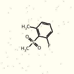 Cc1cccc(F)c1S(C)(=O)=O